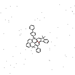 CC1(C)c2ccccc2-c2ccc(N(c3ccc(-c4ccccc4)cc3)c3ccc4cccc5c4c3-c3cccc(-c4ccccc4)c3C5(C)C)cc21